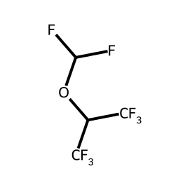 FC(F)OC(C(F)(F)F)C(F)(F)F